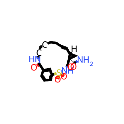 NC(=O)[C@@]12C[C@H]1/C=C/CCCCCNC(=O)c1cccc(c1)S(=O)(=O)NC2=O